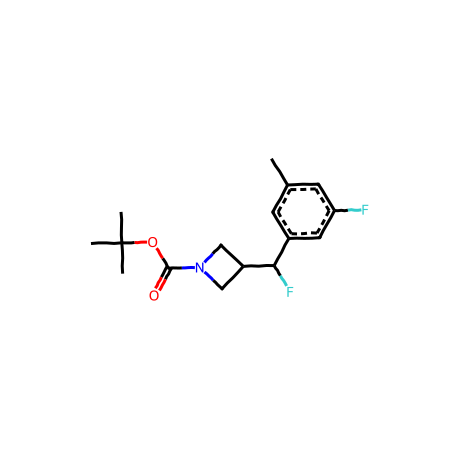 Cc1cc(F)cc(C(F)C2CN(C(=O)OC(C)(C)C)C2)c1